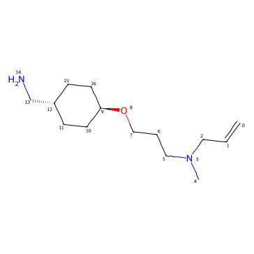 C=CCN(C)CCCO[C@H]1CC[C@H](CN)CC1